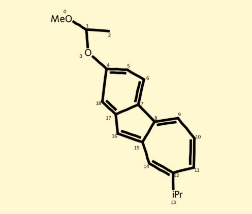 COC(C)Oc1ccc2c3cccc(C(C)C)cc-3cc2c1